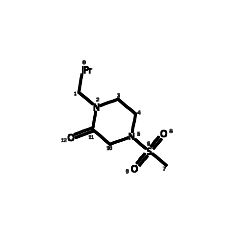 CC(C)CN1CCN(S(C)(=O)=O)CC1=O